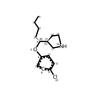 CCCC[C@@H](Oc1ccc(Cl)cc1)[C@H]1CCNC1